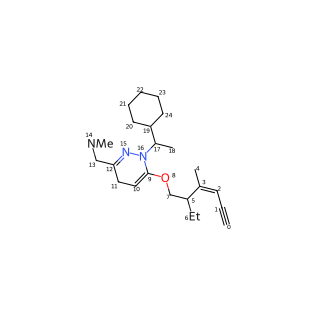 C#C/C=C(/C)C(CC)COC1=CCC(CNC)=NN1C(C)C1CCCCC1